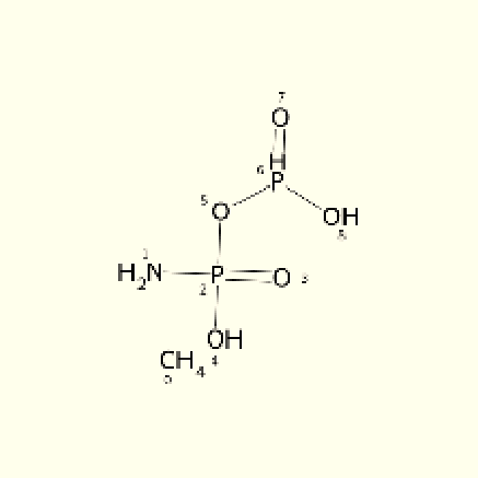 C.NP(=O)(O)O[PH](=O)O